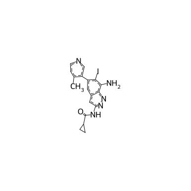 Cc1ccncc1-c1cc2cc(NC(=O)C3CC3)nnc2c(N)c1I